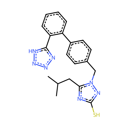 CC(C)Cc1nc(S)nn1Cc1ccc(-c2ccccc2-c2nnn[nH]2)cc1